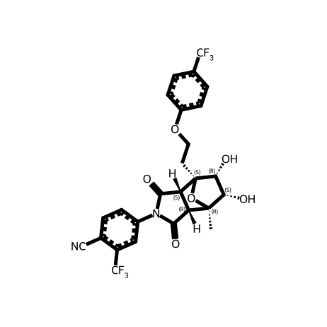 C[C@]12O[C@](CCOc3ccc(C(F)(F)F)cc3)([C@H](O)[C@@H]1O)[C@H]1C(=O)N(c3ccc(C#N)c(C(F)(F)F)c3)C(=O)[C@H]12